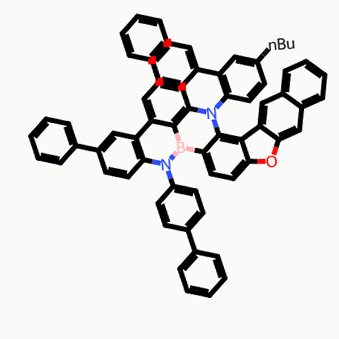 CCCCc1ccc(N2c3cc(-c4ccccc4)cc4c3B(c3ccc5oc6cc7ccccc7cc6c5c32)N(c2ccc(-c3ccccc3)cc2)c2ccc(-c3ccccc3)cc2-4)c(-c2ccccc2)c1